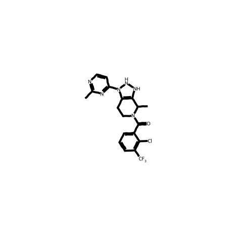 Cc1nccc(N2NNC3=C2CCN(C(=O)c2cccc(C(F)(F)F)c2Cl)C3C)n1